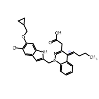 CCC/C=C1/C(CC(=O)O)=NN(Cc2cc3cc(Cl)c(OCC4CC4)cc3[nH]2)c2ccccc21